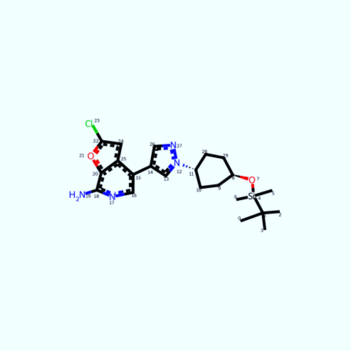 CC(C)(C)[Si](C)(C)O[C@H]1CC[C@H](n2cc(-c3cnc(N)c4oc(Cl)cc34)cn2)CC1